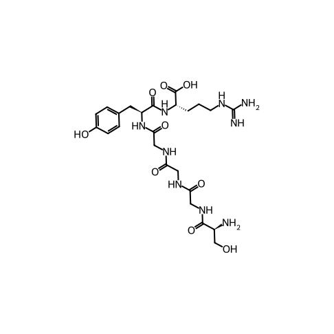 N=C(N)NCCC[C@H](NC(=O)[C@H](Cc1ccc(O)cc1)NC(=O)CNC(=O)CNC(=O)CNC(=O)[C@@H](N)CO)C(=O)O